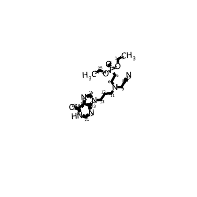 CCOP(=O)(CCN(CC#N)CCCn1cnc2c(=O)[nH]cnc21)OCC